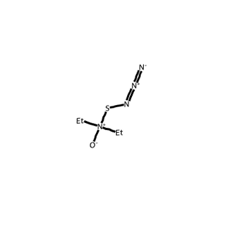 CC[N+]([O-])(CC)SN=[N+]=[N-]